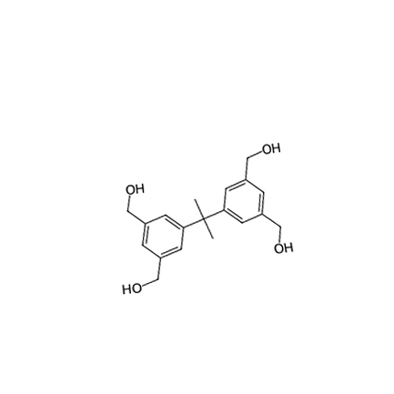 CC(C)(c1cc(CO)cc(CO)c1)c1cc(CO)cc(CO)c1